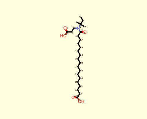 CCC(C)(C)N(CCC(=O)O)C(=O)CCCCCCCCCCCCCCCCC(=O)O